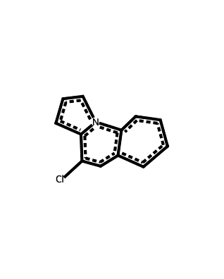 Clc1cc2ccccc2n2cccc12